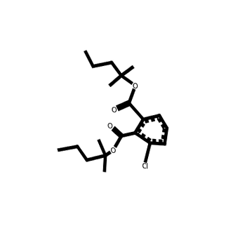 CCCC(C)(C)OC(=O)c1cccc(Cl)c1C(=O)OC(C)(C)CCC